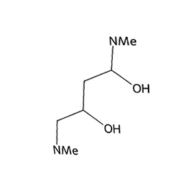 CNCC(O)CC(O)NC